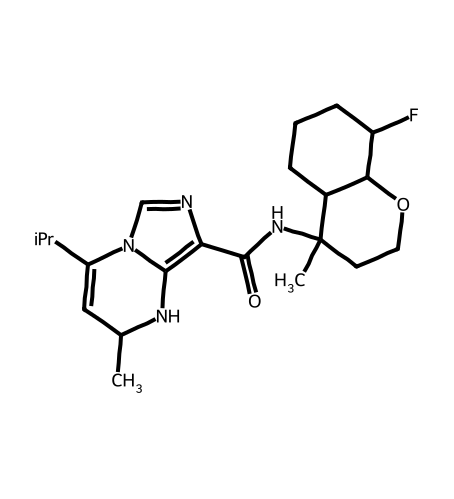 CC1C=C(C(C)C)n2cnc(C(=O)NC3(C)CCOC4C(F)CCCC43)c2N1